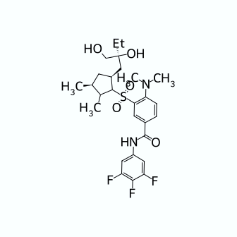 CC[C@@](O)(CO)C[C@@H]1C[C@H](C)C(C)C1S(=O)(=O)c1cc(C(=O)Nc2cc(F)c(F)c(F)c2)ccc1N(C)C